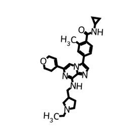 CCN1CCC(CNc2nc(C3=CCOCC3)cn3c(-c4ccc(C(=O)NC5CC5)c(C)c4)cnc23)C1